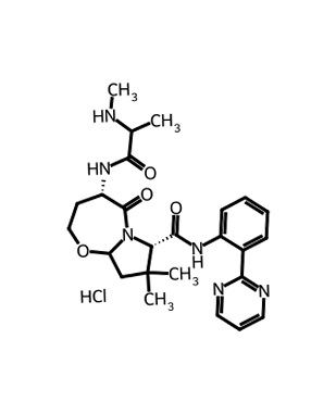 CNC(C)C(=O)N[C@H]1CCOC2CC(C)(C)[C@@H](C(=O)Nc3ccccc3-c3ncccn3)N2C1=O.Cl